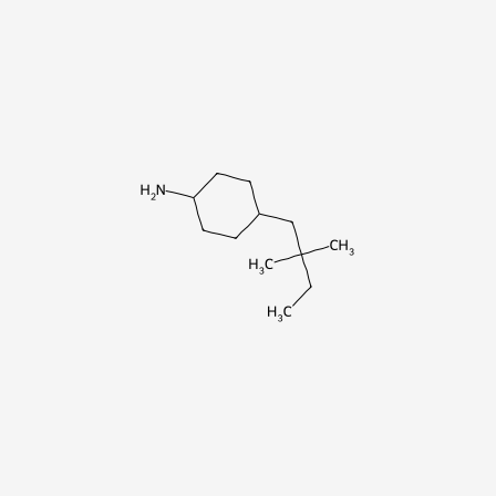 CCC(C)(C)CC1CCC(N)CC1